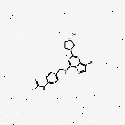 CCC(=O)Nc1ccc(CNc2nc(N3CC[C@H](O)C3)nc3c(Br)cnn23)cc1